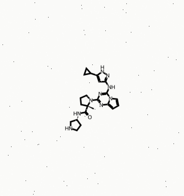 C[C@@]1(C(=O)N[C@@H]2CCNC2)CCCN1c1nc(Nc2cc(C3CC3)[nH]n2)n2cccc2n1